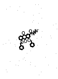 [N-]=[N+]=NC(=O)c1cc(OCc2ccccc2)c2c(c1)C(=O)c1cccc(OCc3ccccc3)c1C2=O